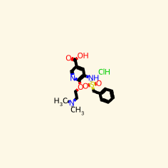 CN(C)CCOc1ncc(C(=O)O)cc1NS(=O)(=O)Cc1ccccc1.Cl